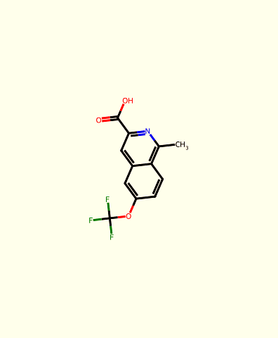 Cc1nc(C(=O)O)cc2cc(OC(F)(F)F)ccc12